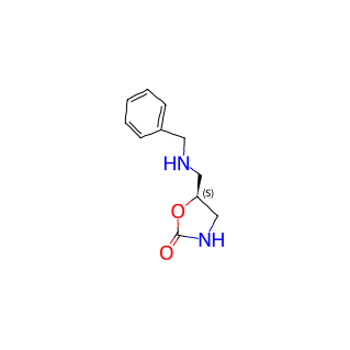 O=C1NC[C@H](CNCc2ccccc2)O1